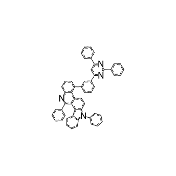 c1ccc(-c2cc(-c3cccc(-c4cccc5nc(-c6ccccc6)c6c(ccc7c6c6ccccc6n7-c6ccccc6)c45)c3)nc(-c3ccccc3)n2)cc1